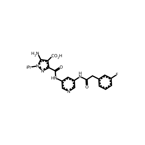 CC(C)n1nc(C(=O)Nc2cncc(NC(=O)Cc3cccc(F)c3)c2)c(C(=O)O)c1N